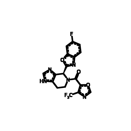 O=C(c1ocnc1C(F)(F)F)N1CCc2[nH]cnc2[C@H]1c1nc2ccc(F)cc2o1